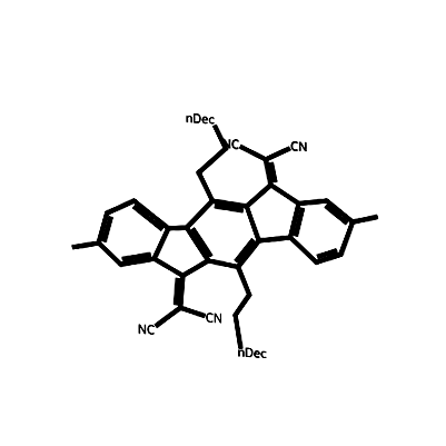 CCCCCCCCCCCCc1c2c(c(CCCCCCCCCCCC)c3c1-c1ccc(C)cc1C3=C(C#N)C#N)-c1ccc(C)cc1C2=C(C#N)C#N